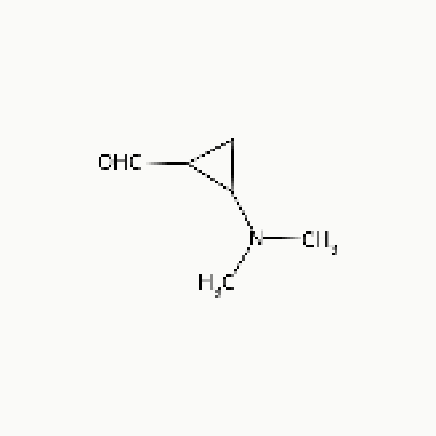 CN(C)C1CC1C=O